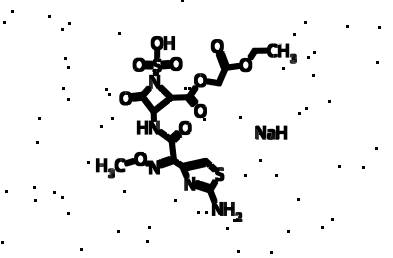 CCOC(=O)COC(=O)C1C(NC(=O)/C(=N\OC)c2csc(N)n2)C(=O)N1S(=O)(=O)O.[NaH]